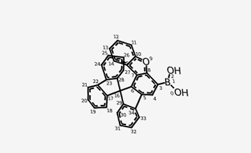 OB(O)c1cc2c(c3c1oc1ccccc13)C1(c3ccccc3-c3ccccc31)c1ccccc1-2